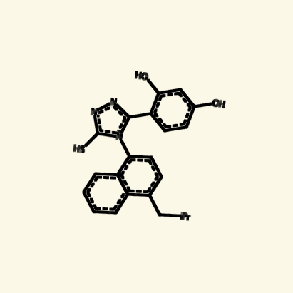 CC(C)Cc1ccc(-n2c(S)nnc2-c2ccc(O)cc2O)c2ccccc12